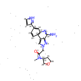 CN(C(=O)Cn1cc2c(n1)c(N)nc1cc(-c3cc[nH]n3)ccc12)[C@H]1CCOC1